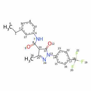 CCc1cccc(NC(=O)C2C(=O)N(c3ccc(C(F)(F)F)cc3)N=C2C)c1